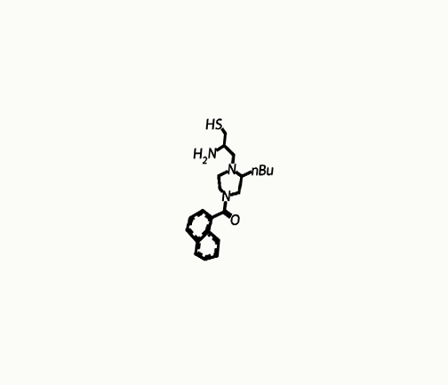 CCCCC1CN(C(=O)c2cccc3ccccc23)CCN1CC(N)CS